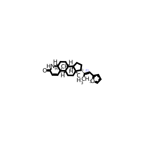 C/C(=C\c1ccco1)[C@H]1CC[C@H]2[C@@H]3CC[C@H]4NC(=O)C=C[C@]4(C)[C@H]3CC[C@]12C